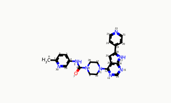 Cc1ccc(NC(=O)N2CCN(c3ncnc4[nH]c(-c5ccncc5)cc34)CC2)cn1